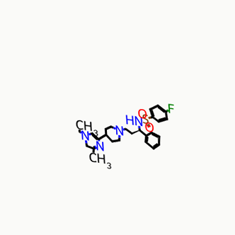 CCN1C=C(C2CCN(CC[C@@H](NS(=O)(=O)c3ccc(F)cc3)c3ccccc3)CC2)N=C(C)C1